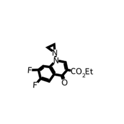 CCOC(=O)c1cn(N2CC2)c2cc(F)c(F)cc2c1=O